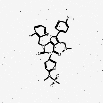 CN(C)Cc1c(-c2ccc(N)cc2)sc2c1c(=O)n(-c1ccc(N(C)S(C)(=O)=O)nc1)c(=O)n2Cc1c(F)cccc1F